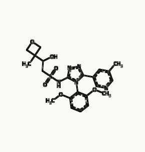 COc1cccc(OC)c1-n1c(NS(=O)(=O)CC(O)C2(C)COC2)nnc1-c1cncc(C)c1